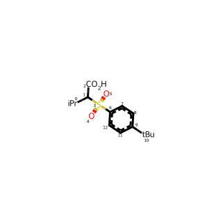 CC(C)C(C(=O)O)S(=O)(=O)c1ccc(C(C)(C)C)cc1